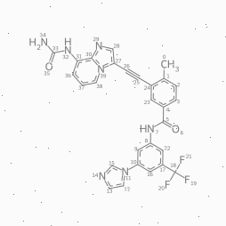 Cc1ccc(C(=O)Nc2cc(-n3ccnc3)cc(C(F)(F)F)c2)cc1C#Cc1cnc2c(NC(N)=O)cccn12